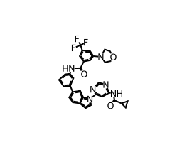 O=C(Nc1cccc(-c2ccc3ccn(-c4cc(NC(=O)C5CC5)ncn4)c3c2)c1)c1cc(N2CCOCC2)cc(C(F)(F)F)c1